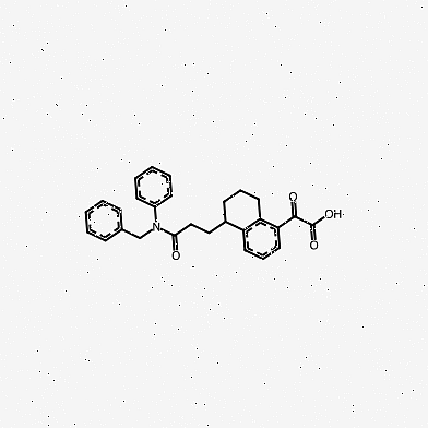 O=C(O)C(=O)c1cccc2c1CCCC2CCC(=O)N(Cc1ccccc1)c1ccccc1